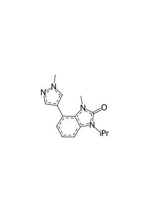 CC(C)n1c(=O)n(C)c2c(-c3cnn(C)c3)cccc21